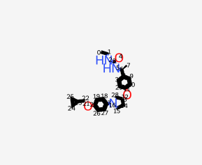 CCNC(=O)N[C@@H](C)c1ccc(OC2CCN(c3ccc(OCC4CC4)cc3)C2)cc1